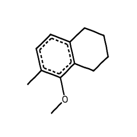 COc1c(C)ccc2c1CCCC2